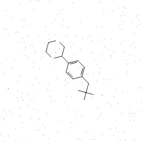 FC(F)(F)Cc1ccc(C2COCCN2)cc1